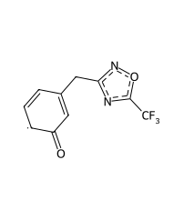 O=C1[CH]C=CC(Cc2noc(C(F)(F)F)n2)=C1